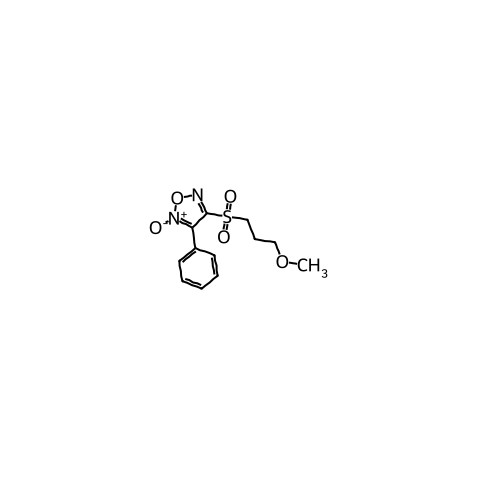 COCCCS(=O)(=O)c1no[n+]([O-])c1-c1ccccc1